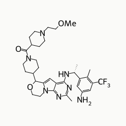 COCCN1CCC(C(=O)N2CCC(C3OCCn4c3cc3c(N[C@H](C)c5cc(N)cc(C(F)(F)F)c5C)nc(C)nc34)CC2)CC1